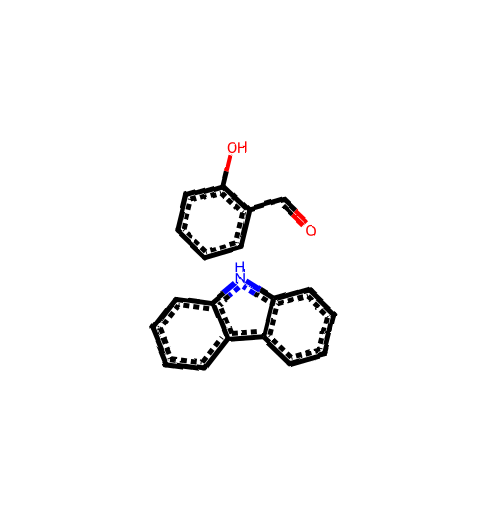 O=Cc1ccccc1O.c1ccc2c(c1)[nH]c1ccccc12